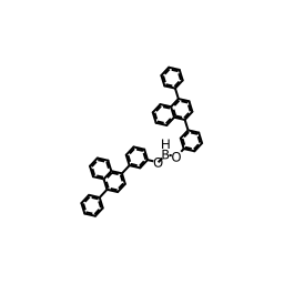 B(Oc1cccc(-c2ccc(-c3ccccc3)c3ccccc23)c1)Oc1cccc(-c2ccc(-c3ccccc3)c3ccccc23)c1